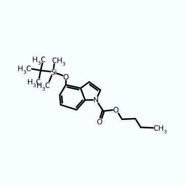 CCCCOC(=O)n1ccc2c(O[Si](C)(C)C(C)(C)C)cccc21